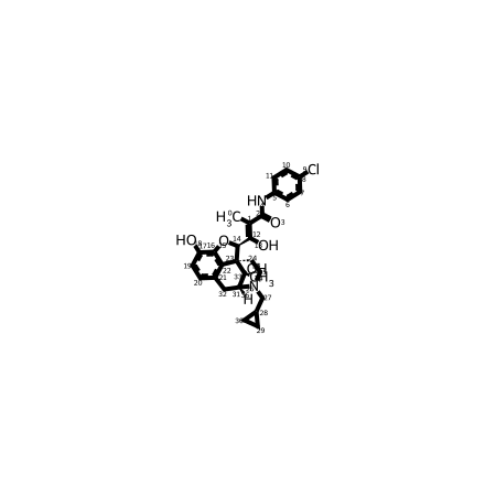 C/C(C(=O)Nc1ccc(Cl)cc1)=C(/O)[C@@H]1Oc2c(O)ccc3c2[C@@]12CCN(CC1CC1)[C@H](C3)[C@@]2(C)O